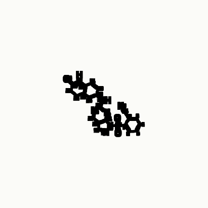 N#Cc1ccccc1S(=O)(=O)n1ncc2cnc(Nc3ccc4c(c3)CCC(=O)N4)nc21